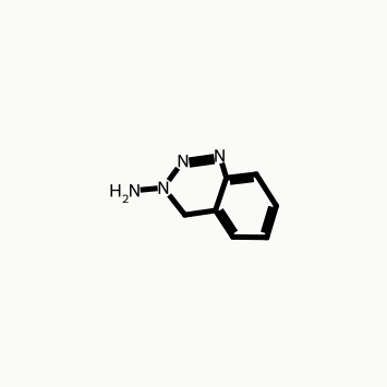 NN1Cc2ccccc2N=N1